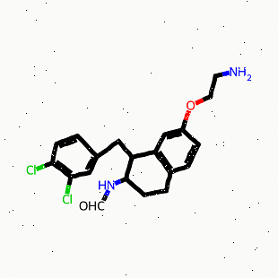 NCCOc1ccc2c(c1)C(Cc1ccc(Cl)c(Cl)c1)C(NC=O)CC2